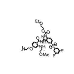 CCOCCOC(=O)n1nc(NC(=O)c2ccc(OCCN(C)C)cc2N[C@H](C)COC)c2cc(S(=O)(=O)c3cc(F)cc(F)c3)ccc21